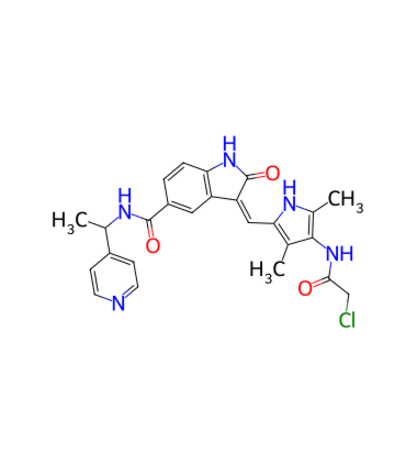 Cc1[nH]c(C=C2C(=O)Nc3ccc(C(=O)NC(C)c4ccncc4)cc32)c(C)c1NC(=O)CCl